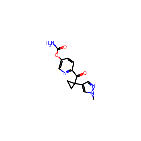 Cn1cc(C2(C(=O)c3ccc(OC(N)=O)cn3)CC2)cn1